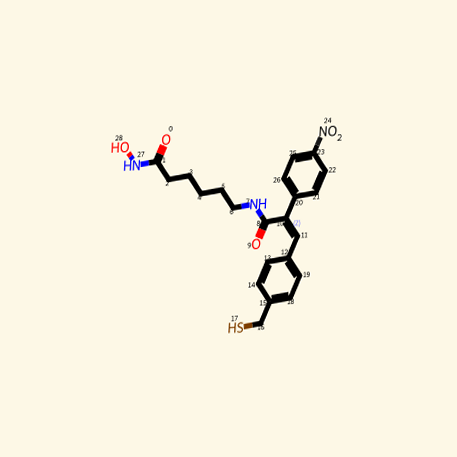 O=C(CCCCCNC(=O)/C(=C\c1ccc(CS)cc1)c1ccc([N+](=O)[O-])cc1)NO